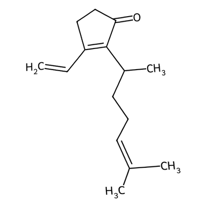 C=CC1=C(C(C)CCC=C(C)C)C(=O)CC1